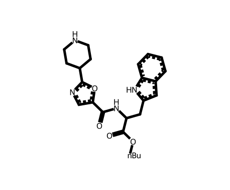 CCCCOC(=O)C(Cc1cc2ccccc2[nH]1)NC(=O)c1cnc(C2CCNCC2)o1